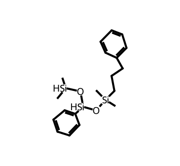 C[SiH](C)O[SiH](O[Si](C)(C)CCCc1ccccc1)c1ccccc1